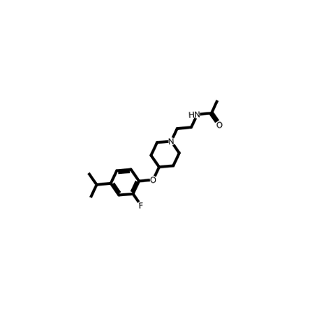 CC(=O)NCCN1CCC(Oc2ccc(C(C)C)cc2F)CC1